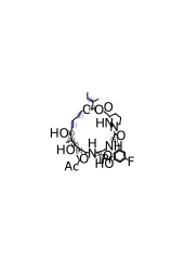 C/C=C(\C)[C@@H]1C/C=C/C=C/[C@H](O)[C@H](C)[C@@H](O)[C@@H](CCC(C)=O)C(=O)N[C@@H](C(C)C)C(=O)N[C@@H](Cc2cc(O)cc(F)c2)C(=O)N2CCCC(N2)C(=O)O1